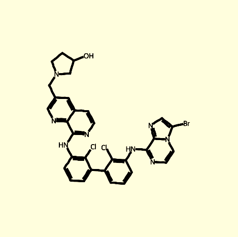 OC1CCN(Cc2cnc3c(Nc4cccc(-c5cccc(Nc6nccn7c(Br)cnc67)c5Cl)c4Cl)nccc3c2)C1